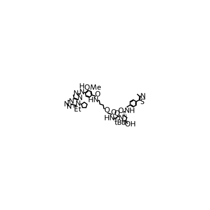 CC[C@@H]1c2nncn2-c2cnc(Nc3ccc(C(=O)NCCCCOCC(=O)N[C@H](C(=O)N4C[C@H](O)C[C@H]4C(=O)NCc4ccc(-c5scnc5C)cc4)C(C)(C)C)cc3OC)nc2N1C1CCCC1